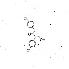 [O-][S+](Cc1ccc(Cl)cc1)C(CO)c1ccc(Cl)cc1